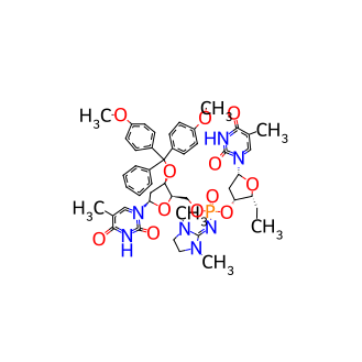 CC[C@H]1O[C@@H](n2cc(C)c(=O)[nH]c2=O)C[C@H]1OP(=O)(N=C1N(C)CCN1C)OC[C@H]1O[C@@H](n2cc(C)c(=O)[nH]c2=O)C[C@H]1OC(c1ccccc1)(c1ccc(OC)cc1)c1ccc(OC)cc1